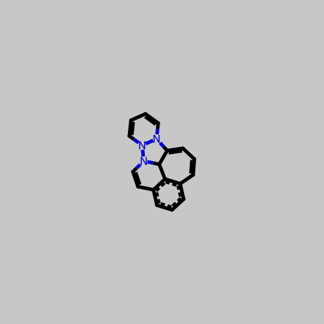 C1=Cc2cccc3c2C2C(=C1)N1C=CC=CN1N2C=C3